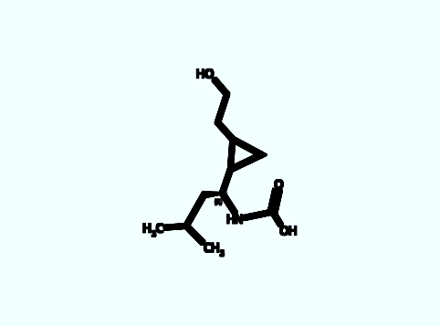 CC(C)C[C@H](NC(=O)O)C1CC1CCO